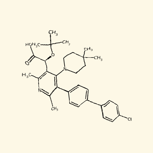 Cc1nc(C)c([C@H](OC(C)(C)C)C(=O)O)c(N2CCC(C)(C)CC2)c1-c1ccc(-c2ccc(Cl)cc2)cc1